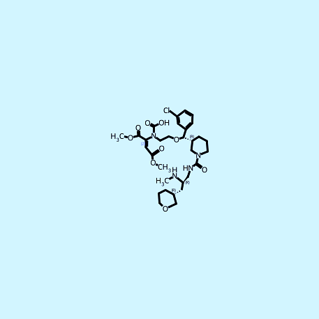 CN[C@@H](CNC(=O)N1CCC[C@@H](C(OCCN(C(=O)O)/C(=C\C(=O)OC)C(=O)OC)c2cccc(Cl)c2)C1)C[C@H]1CCCOC1